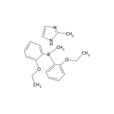 CCOc1ccccc1B(C)c1ccccc1OCC.Cc1ncc[nH]1